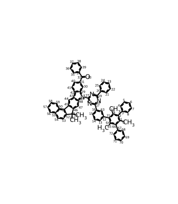 Cc1c(-c2ccccc2)c(C)c(-c2cccc(-c3nc(-c4ccccc4)nc(-n4c5cc(C(=O)c6ccccc6)ccc5c5cc6c(cc54)C(C)(C)c4ccc5ccccc5c4-6)n3)c2)c(C)c1-c1ccccc1